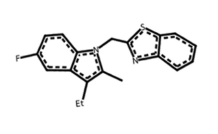 CCc1c(C)n(Cc2nc3ccccc3s2)c2ccc(F)cc12